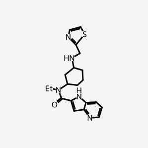 CCN(C(=O)c1cc2ncccc2[nH]1)C1CCCC(NCc2nccs2)C1